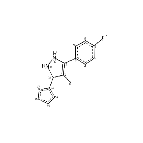 CC1=C(c2ccc(F)cc2)NNC1c1cccs1